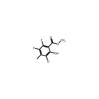 COC(=O)c1c(O)c(Cl)c(I)c(F)c1F